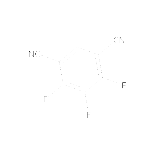 N#Cc1cc(C#N)c(F)c(F)c1F